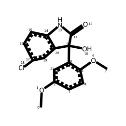 COc1ccc(OC)c(C2(O)C(=O)Nc3ccc(Cl)cc32)c1